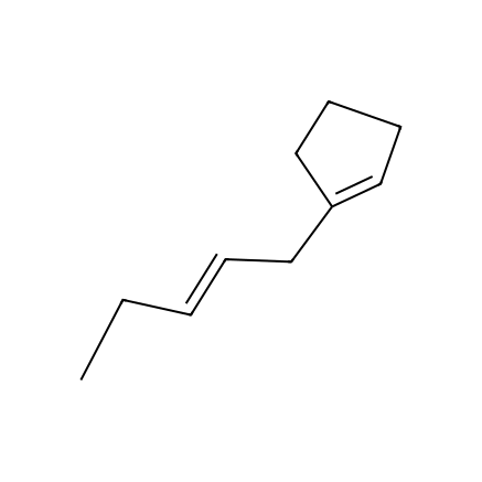 CCC=CCC1=CCCC1